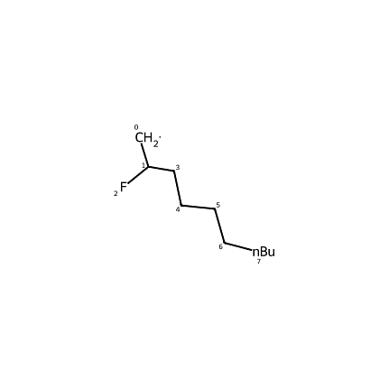 [CH2]C(F)CCCCCCCC